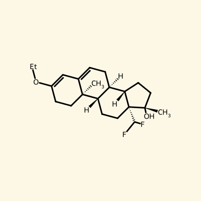 CCOC1=CC2=CC[C@@H]3[C@H](CC[C@@]4(C(F)F)[C@H]3CC[C@]4(C)O)[C@@]2(C)CC1